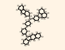 c1cc(-c2ccc(N(c3ccc4c(c3)-c3cccc5cccc-4c35)c3ccc4c(c3)sc3ccccc34)cc2)cc(-n2c3ccccc3c3cc4ccccc4cc32)c1